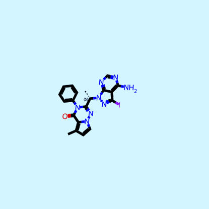 Cc1ccn2nc([C@H](C)n3nc(I)c4c(N)ncnc43)n(-c3ccccc3)c(=O)c12